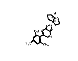 Cc1cc(C(F)(F)F)cc(O)c1-c1cnc2cn([C@]34CCC[C@H]3OCC4)nc2n1